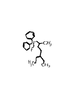 CCCC(CC)CCC(C)C[N+](CF)(c1ccccc1)c1ccccc1